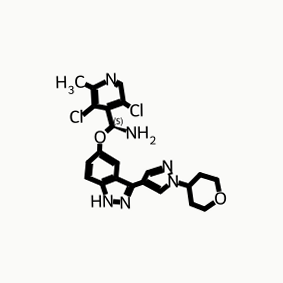 Cc1ncc(Cl)c([C@@H](N)Oc2ccc3[nH]nc(-c4cnn(C5CCOCC5)c4)c3c2)c1Cl